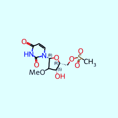 COC1[C@@H](O)[C@@H](COS(C)(=O)=O)O[C@H]1n1ccc(=O)[nH]c1=O